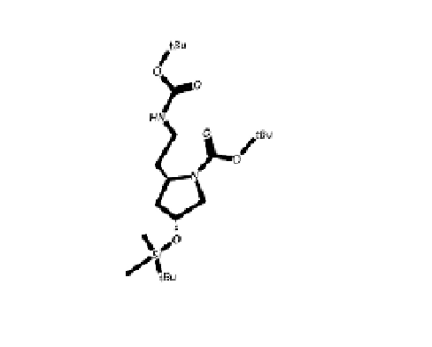 CC(C)(C)OC(=O)NCC[C@@H]1C[C@@H](O[Si](C)(C)C(C)(C)C)CN1C(=O)OC(C)(C)C